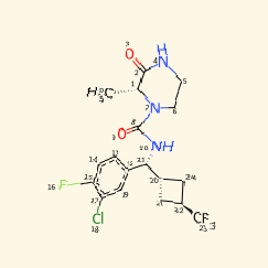 C[C@@H]1C(=O)NCCN1C(=O)N[C@@H](c1ccc(F)c(Cl)c1)[C@H]1C[C@H](C(F)(F)F)C1